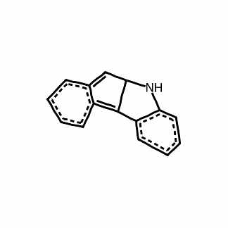 C1=c2ccccc2=C2c3ccccc3NC12